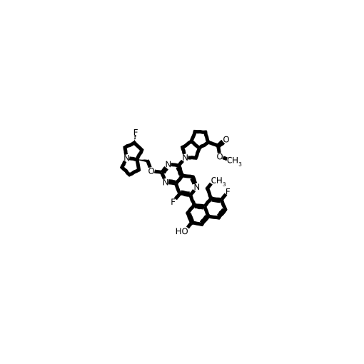 CCc1c(F)ccc2cc(O)cc(-c3ncc4c(N5CC6CCC(C(=O)OC)C6C5)nc(OC[C@@]56CCCN5C[C@H](F)C6)nc4c3F)c12